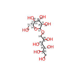 OC[C@@H](O)[C@@H](O)[C@H](O)[C@H](O)COC1O[C@H](CO)[C@@H](O)[C@H](O)[C@H]1O